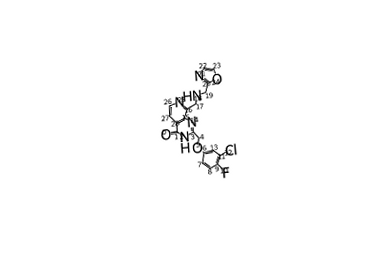 O=c1[nH]c(COc2ccc(F)c(Cl)c2)nc2c(CNCc3ncco3)nccc12